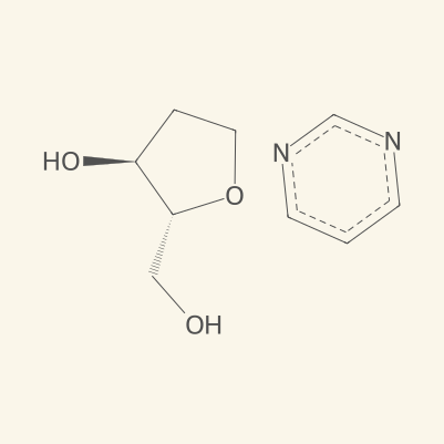 OC[C@H]1OCC[C@@H]1O.c1cncnc1